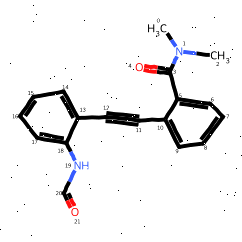 CN(C)C(=O)c1ccccc1C#Cc1ccccc1NC=O